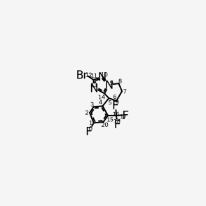 Fc1ccc(C2CCCn3nc(Br)nc32)c(C(F)(F)F)c1